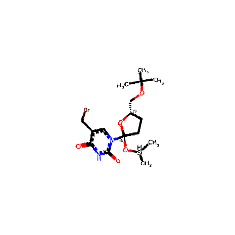 C[SiH](C)O[C@]1(n2cc(CBr)c(=O)[nH]c2=O)CC[C@@H](COC(C)(C)C)O1